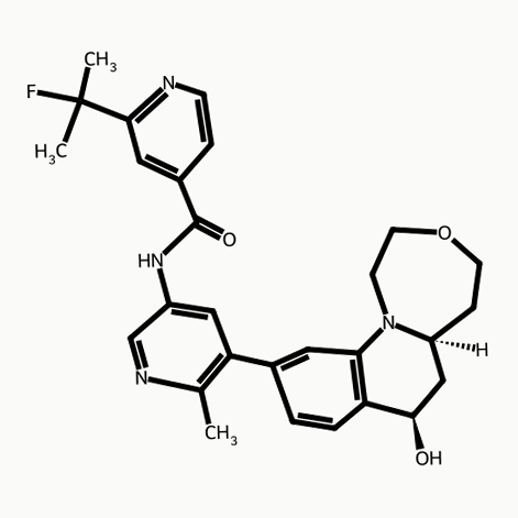 Cc1ncc(NC(=O)c2ccnc(C(C)(C)F)c2)cc1-c1ccc2c(c1)N1CCOCC[C@H]1C[C@H]2O